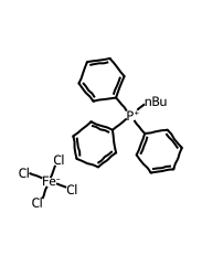 CCCC[P+](c1ccccc1)(c1ccccc1)c1ccccc1.[Cl][Fe-]([Cl])([Cl])[Cl]